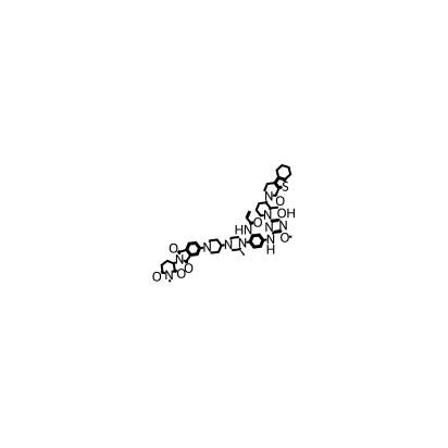 C=CC(=O)Nc1cc(Nc2nc(N3CCCC(N4CCc5c(sc6c5CCCC6)C4=O)C3CO)cnc2OC)ccc1N1CCN(C2CCN(c3ccc4c(c3)C(=O)N(C3CCC(=O)N(C)C3=O)C4=O)CC2)C[C@@H]1C